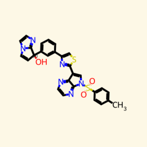 Cc1ccc(S(=O)(=O)n2cc(-c3nc(-c4cccc([C@]5(O)C=Cn6ccnc65)c4)cs3)c3nccnc32)cc1